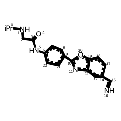 CC(C)NCC(=O)Nc1ccc(-c2nc3cc(C=N)ccc3o2)cc1